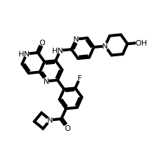 O=C(c1ccc(F)c(-c2cc(Nc3ccc(N4CCC(O)CC4)cn3)c3c(=O)[nH]ccc3n2)c1)N1CCC1